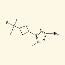 Cc1cc(N)nn1C1CC(C(F)(F)F)C1